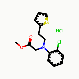 COC(=O)CN(CCc1cccs1)c1ccccc1Cl.Cl